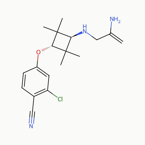 C=C(N)CN[C@H]1C(C)(C)[C@H](Oc2ccc(C#N)c(Cl)c2)C1(C)C